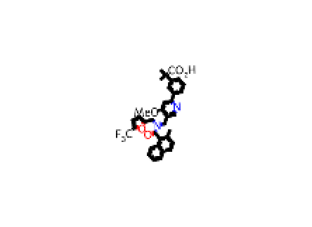 COc1cc(-c2cccc(C(C)(C)C(=O)O)c2)ncc1CN(Cc1ccc(C(F)(F)F)o1)C(=O)c1c(C)ccc2ccccc12